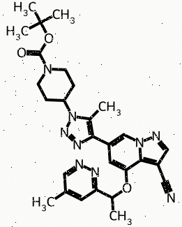 Cc1cnnc(C(C)Oc2cc(-c3nnn(C4CCN(C(=O)OC(C)(C)C)CC4)c3C)cn3ncc(C#N)c23)c1